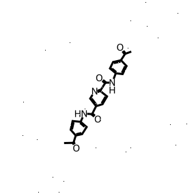 CC(=O)c1ccc(NC(=O)c2ccc(C(=O)Nc3ccc(C(C)=O)cc3)nc2)cc1